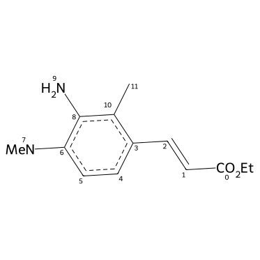 CCOC(=O)/C=C/c1ccc(NC)c(N)c1C